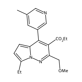 CCOC(=O)c1c(COC)nn2c(CC)ccc2c1-c1cncc(C)c1